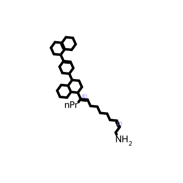 CCC/C(=C\CCCCC/C=C\CN)C1CCC(C2CC=C(C3CCCC4=C3CCCC4)CC2)C2CCCCC12